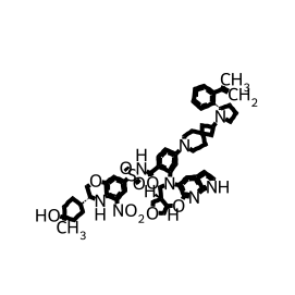 C=C(C)c1ccccc1[C@@H]1CCCN1C1CC2(CCN(c3ccc(C(=O)NS(=O)(=O)c4cc5c(c([N+](=O)[O-])c4)N[C@H](C4CCC(C)(O)CC4)CO5)c(N4C[C@H]5COC[C@@H]5Oc5nc6[nH]ccc6cc54)c3)CC2)C1